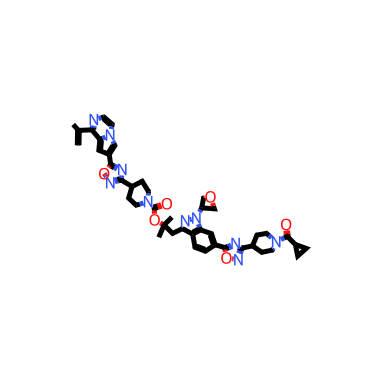 C=C(C)c1nccn2cc(-c3nc(C4CCN(C(=O)OC(C)(C)Cc5nn(C6COC6)c6cc(-c7nc(C8CCN(C(=O)C9CC9)CC8)no7)ccc56)CC4)no3)cc12